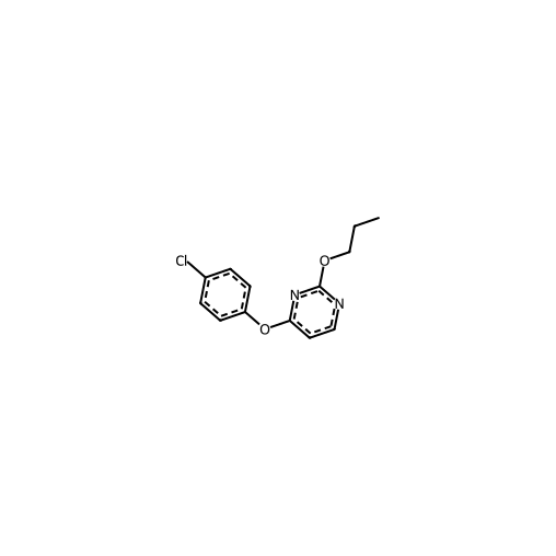 CCCOc1nccc(Oc2ccc(Cl)cc2)n1